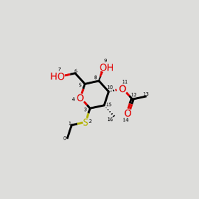 CCSC1OC(CO)[C@@H](O)[C@H](OC(C)=O)[C@@H]1C